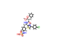 COC(=O)C(Cc1ccccc1)C(=O)NC(Cc1ccc(NS(=O)(=O)O)cc1)c1nc(-c2ccc(Cl)cc2)cs1